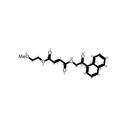 COCCOC(=O)/C=C/C(=O)OCC(=O)c1cccc2ccccc12